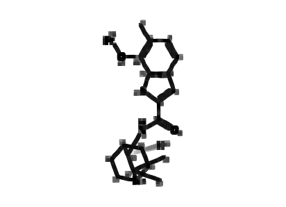 Cc1ccc2cc(C(=O)N[C@@H]3C4CCN(CC4)C3(C)C)sc2c1OC(C)C